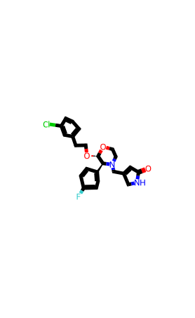 O=C1C=C(CN2CCO[C@@H](OCCc3cccc(Cl)c3)[C@@H]2c2ccc(F)cc2)CN1